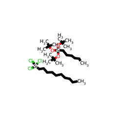 CCCCCCCCCC[Si](Cl)(Cl)Cl.CCCCCC[Si](OC(C)(C)C)(OC(C)(C)C)OC(C)(C)C